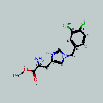 COC(=O)[C@@H](N)Cc1cn(Cc2ccc(Cl)c(Cl)c2)cn1